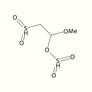 COC(C[SH](=O)=O)O[SH](=O)=O